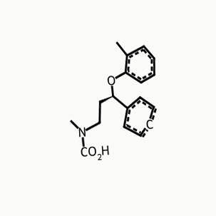 Cc1ccccc1O[C@H](CCN(C)C(=O)O)c1ccccc1